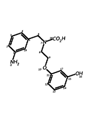 Nc1cccc(CN(CCOc2cccc(O)c2)C(=O)O)c1